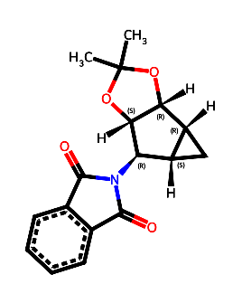 CC1(C)O[C@@H]2[C@@H]3C[C@@H]3[C@@H](N3C(=O)c4ccccc4C3=O)[C@@H]2O1